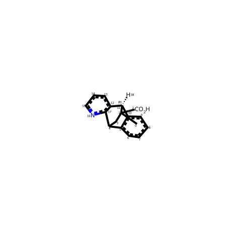 CC1(C(=O)O)CC2c3ccccc3[C@@H]1c1cccnc12